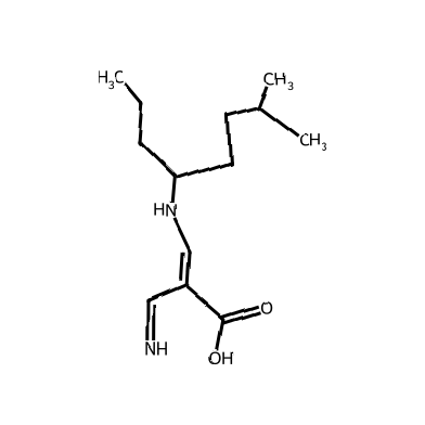 CCCC(CCC(C)C)N/C=C(\C=N)C(=O)O